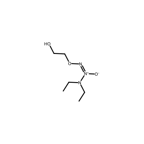 CCN(CC)/[N+]([O-])=N\OCCO